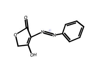 O=C1OCC(O)=C1/N=N/c1ccccc1